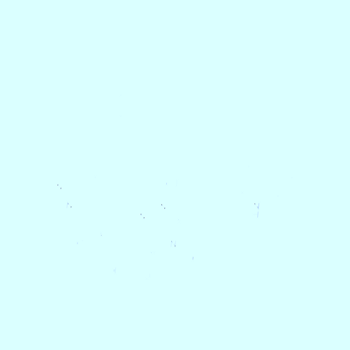 CCN1C(=O)c2c(O)c(=O)c(-c3nnc(Cc4ccc(F)cc4F)s3)cn2N(C)C12CCC(C(=O)NC1CC1)CC2